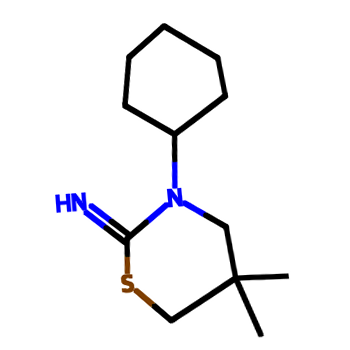 CC1(C)CSC(=N)N(C2CCCCC2)C1